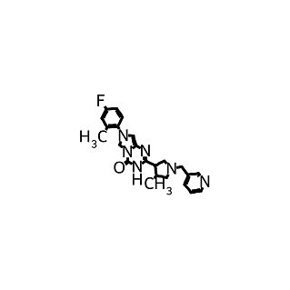 Cc1cc(F)ccc1N1C=C2N=C(C3CN(Cc4cccnc4)CC3C)NC(=O)N2C1